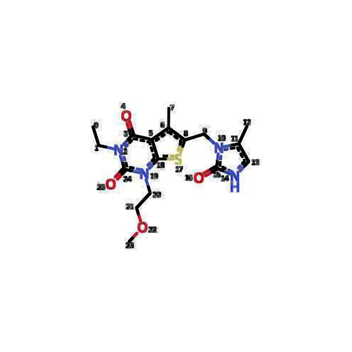 CCn1c(=O)c2c(C)c(Cn3c(C)c[nH]c3=O)sc2n(CCOC)c1=O